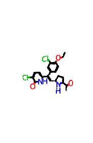 CCOc1ccc(/C(=C\[C@H]2CCC(C(C)=O)N2)c2ccc(Cl)c(=O)[nH]2)cc1Cl